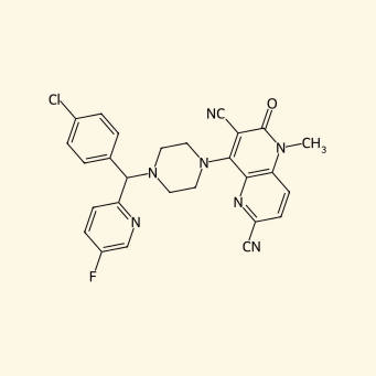 Cn1c(=O)c(C#N)c(N2CCN(C(c3ccc(Cl)cc3)c3ccc(F)cn3)CC2)c2nc(C#N)ccc21